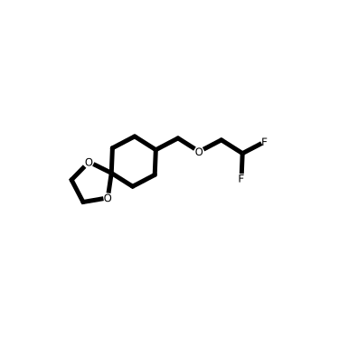 FC(F)COCC1CCC2(CC1)OCCO2